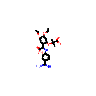 CCOc1cc(OC(C)(C)C(=O)O)c(C(Nc2ccc(C(=N)N)cc2)C(=O)O)cc1OCC